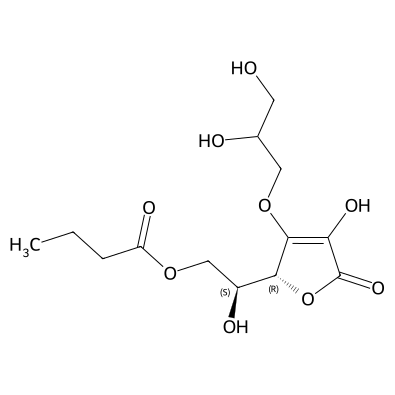 CCCC(=O)OC[C@H](O)[C@H]1OC(=O)C(O)=C1OCC(O)CO